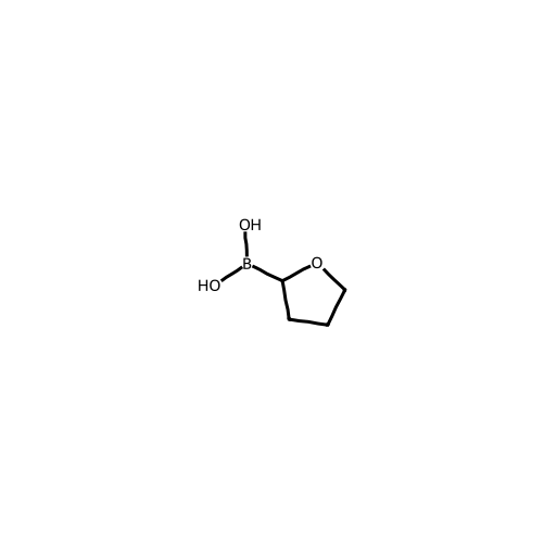 OB(O)C1CCCO1